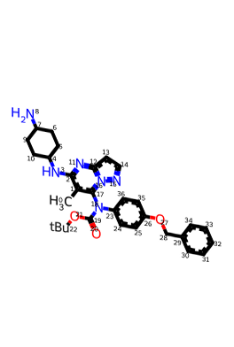 Cc1c(NC2CCC(N)CC2)nc2ccnn2c1N(C(=O)OC(C)(C)C)c1ccc(OCc2ccccc2)cc1